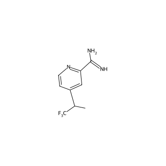 CC(c1ccnc(C(=N)N)c1)C(F)(F)F